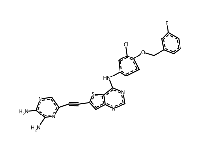 Nc1ncc(C#Cc2cc3ncnc(Nc4ccc(OCc5cccc(F)c5)c(Cl)c4)c3s2)nc1N